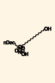 CCCCCCCCCCCCCCC(CCCO)(OC(=O)CCCCCCCCCCCCCCCCCO)C(N)=O